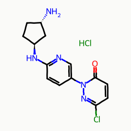 Cl.N[C@H]1CC[C@H](Nc2ccc(-n3nc(Cl)ccc3=O)cn2)C1